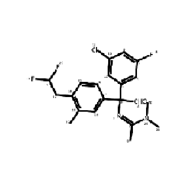 C/C(=N/C(C=O)(c1cc(F)cc(Cl)c1)c1ccc(CC(F)F)c(C)c1)N(C)C